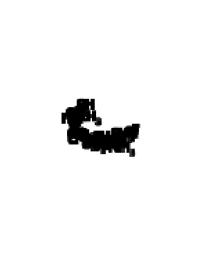 Cc1nn(CCOC(F)F)c(C)c1-c1ccc(-c2cnc(C(=O)Nc3ccc(C(=O)N4CCN(C(=O)C5C[C@@H](O)C[N+]5(C)C)CC4)c(Cl)c3)n2C)c(F)c1F